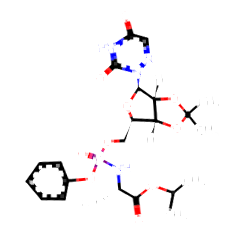 CC(C)OC(=O)[C@H](C)NP(=O)(OC[C@H]1O[C@@H](n2ncc(=O)[nH]c2=O)[C@@H]2OC(C)(C)O[C@@H]21)Oc1ccccc1